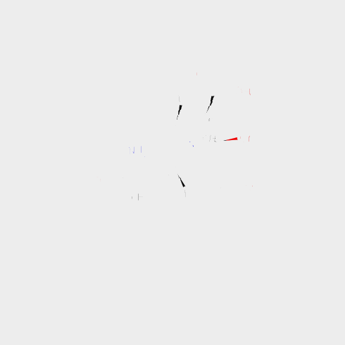 CC(N)=O.CN1[C@@H]2CC[C@H]1C(C(=O)c1ccccc1)[C@H](O)[C@@H]2C(=O)O